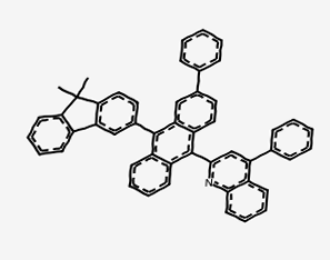 CC1(C)c2ccccc2-c2cc(-c3c4ccccc4c(-c4cc(-c5ccccc5)c5ccccc5n4)c4ccc(-c5ccccc5)cc34)ccc21